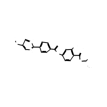 CCCCCCCCOc1cnc(-c2ccc(C(=O)Oc3ccc(C(=O)O[C@@H](CCCC)C(F)(F)F)c(F)c3)cc2)nc1